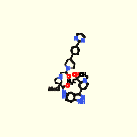 CO[C@@]1(C(=O)Nc2ccc3[nH]nc(-c4ccnc(C(C)(C)O)c4)c3c2)CCN(CC(=O)N2CC=C(c3ccc(-c4ncccn4)cc3)CC2)C1